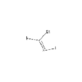 CC/C(I)=[C]\I